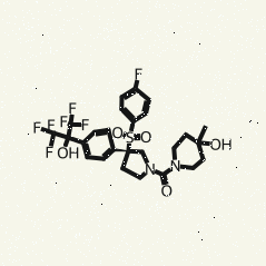 CC1(O)CCN(C(=O)N2CC[C@](c3ccc(C(O)(C(F)(F)F)C(F)(F)F)cc3)(S(=O)(=O)c3ccc(F)cc3)C2)CC1